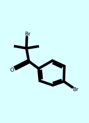 CC(C)(Br)C(=O)c1ccc(Br)cc1